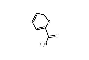 NC(=O)C1=C[C]=CCS1